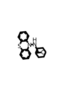 c1ccc2c(c1)Sc1ccccc1N2NC1CC2CCC1CC2